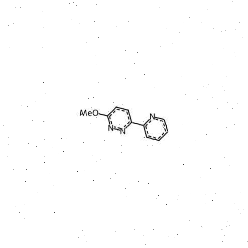 COc1ccc(-c2[c]cccn2)nn1